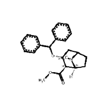 COC(=O)[C@H]1[C@H](OC(c2ccccc2)c2ccccc2)CC2CC[C@@H]1N2C